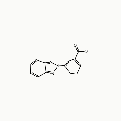 O=C(O)C1=CCCC(n2nc3ccccc3n2)=C1